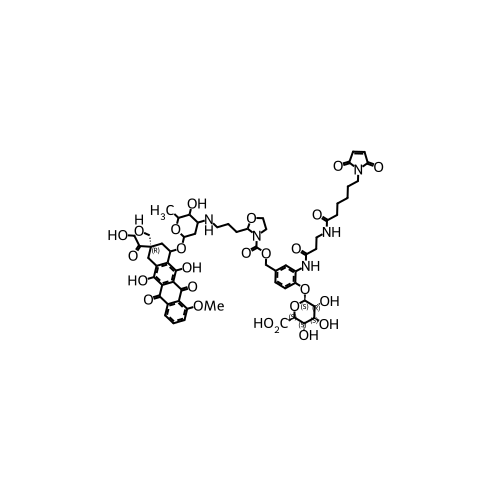 COc1cccc2c1C(=O)c1c(O)c3c(c(O)c1C2=O)C[C@@](CO)(C(=O)CO)CC3OC1CC(NCCCC2OCCN2C(=O)OCc2ccc(O[C@@H]3O[C@H](C(=O)O)[C@@H](O)[C@H](O)[C@H]3O)c(NC(=O)CCNC(=O)CCCCCN3C(=O)C=CC3=O)c2)C(O)C(C)O1